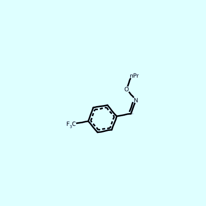 CCCO/N=[C]\c1ccc(C(F)(F)F)cc1